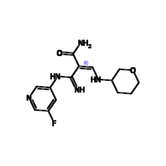 N=C(Nc1cncc(F)c1)/C(=C\NC1CCCOC1)C(N)=O